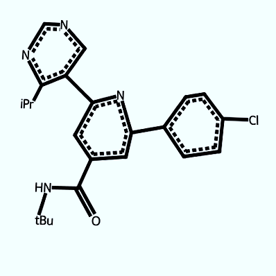 CC(C)c1ncncc1-c1cc(C(=O)NC(C)(C)C)cc(-c2ccc(Cl)cc2)n1